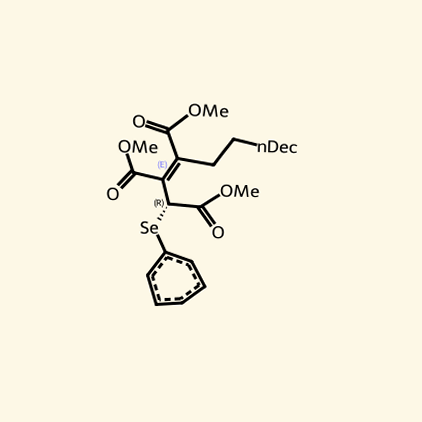 CCCCCCCCCCCC/C(C(=O)OC)=C(/C(=O)OC)[C@@H]([Se]c1ccccc1)C(=O)OC